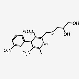 CCOC(=O)C1=C(CSCC(O)CO)NC(C)=C([N+](=O)[O-])C1c1cccc([N+](=O)[O-])c1